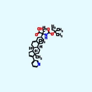 CC(C)(C)OC(=O)NC(C)(C(=O)O)[C@H]1CC[C@@]2(C)C(=CC[C@@H]3[C@@H]2CC[C@]2(C)C(c4cccnc4)=CC[C@@H]32)C1